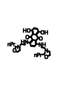 CCCC1OCCN1CCNc1ccc(NCCN2CCOC2CCC)c2c1C(=O)c1c(O)ccc(O)c1C2=O